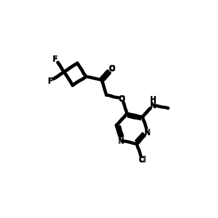 CNc1nc(Cl)ncc1OCC(=O)C1CC(F)(F)C1